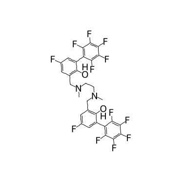 CN(CCN(C)Cc1cc(F)cc(-c2c(F)c(F)c(F)c(F)c2F)c1O)Cc1cc(F)cc(-c2c(F)c(F)c(F)c(F)c2F)c1O